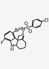 C=C1CCCC2Nc3c(F)ccc(Br)c3C12CCNS(=O)(=O)c1ccc(Cl)cc1